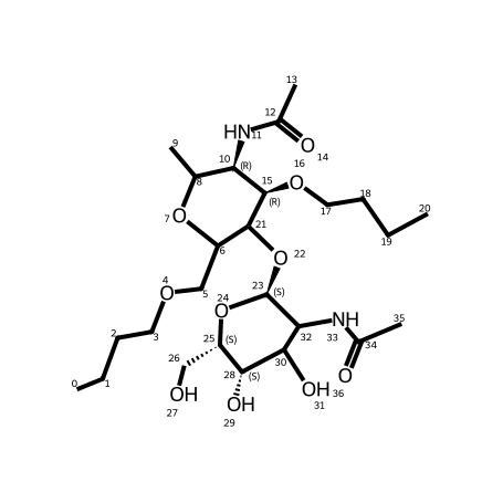 CCCCOCC1OC(C)[C@@H](NC(C)=O)[C@@H](OCCCC)C1O[C@@H]1O[C@@H](CO)[C@@H](O)C(O)C1NC(C)=O